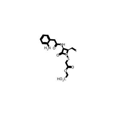 Nc1ccccc1CC(=O)N[C@@H]1C(=O)N(SCC(=O)OCC(=O)O)[C@@H]1CI